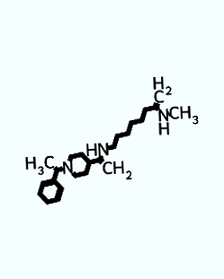 C=C(CCCCCCNC(=C)C1CCN(C(C)C2=CCCC=C2)CC1)NC